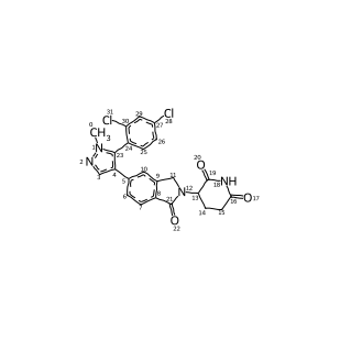 Cn1ncc(-c2ccc3c(c2)CN(C2CCC(=O)NC2=O)C3=O)c1-c1ccc(Cl)cc1Cl